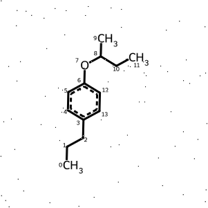 CCCc1ccc(OC(C)CC)cc1